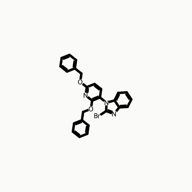 Brc1nc2ccccc2n1-c1ccc(OCc2ccccc2)nc1OCc1ccccc1